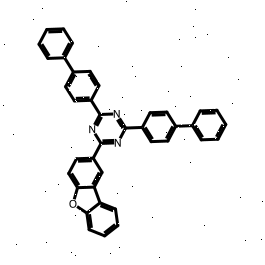 c1ccc(-c2ccc(-c3nc(-c4ccc(-c5ccccc5)cc4)nc(-c4ccc5oc6ccccc6c5c4)n3)cc2)cc1